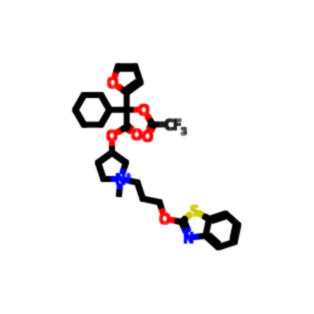 C[N+]1(CCCOc2nc3ccccc3s2)CCC(OC(=O)C(OC(=O)C(F)(F)F)(c2ccco2)C2CCCCC2)C1